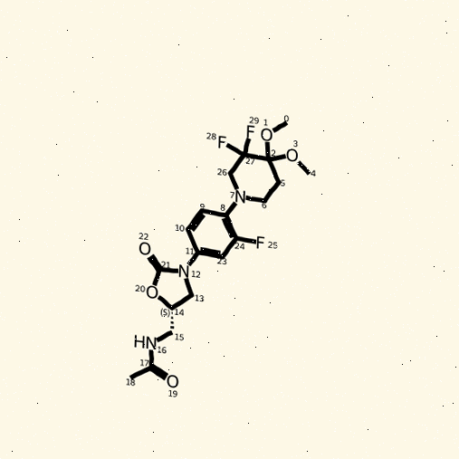 COC1(OC)CCN(c2ccc(N3C[C@H](CNC(C)=O)OC3=O)cc2F)CC1(F)F